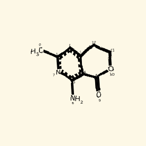 Cc1cc2c(c(N)n1)C(=O)OCC2